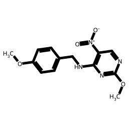 COc1ccc(CNc2nc(OC)ncc2[N+](=O)[O-])cc1